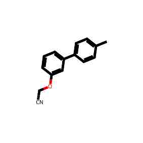 Cc1ccc(-c2cccc(OCC#N)c2)cc1